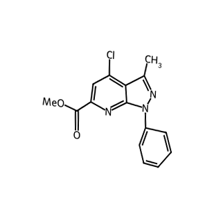 COC(=O)c1cc(Cl)c2c(C)nn(-c3ccccc3)c2n1